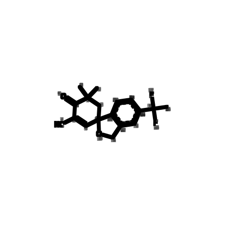 CC1(C)CC2(C=C(C#N)C1=O)OCc1cc(C(C)(F)F)ccc12